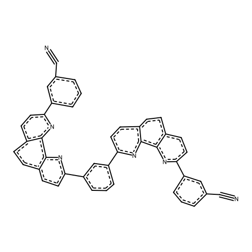 N#Cc1cccc(-c2ccc3ccc4ccc(-c5cccc(-c6ccc7ccc8ccc(-c9cccc(C#N)c9)nc8c7n6)c5)nc4c3n2)c1